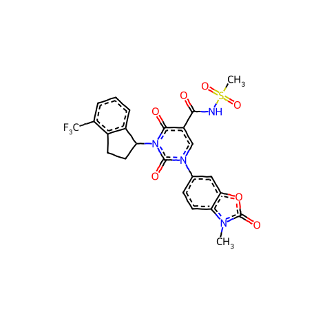 Cn1c(=O)oc2cc(-n3cc(C(=O)NS(C)(=O)=O)c(=O)n(C4CCc5c4cccc5C(F)(F)F)c3=O)ccc21